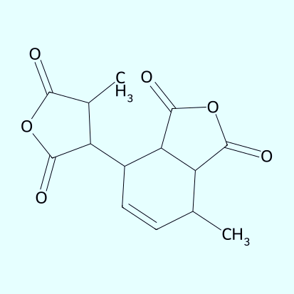 CC1C=CC(C2C(=O)OC(=O)C2C)C2C(=O)OC(=O)C12